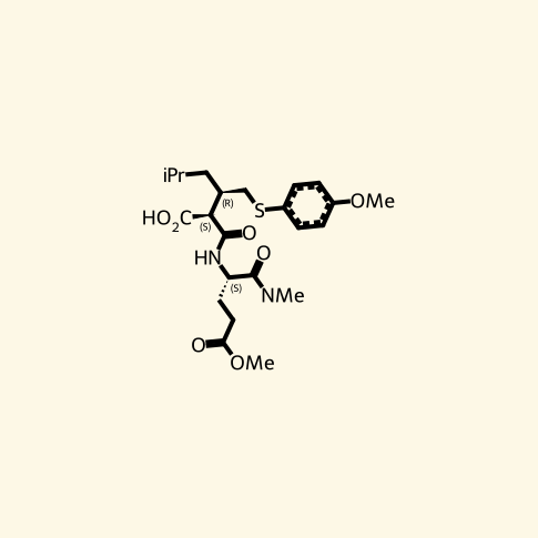 CNC(=O)[C@H](CCC(=O)OC)NC(=O)[C@@H](C(=O)O)[C@H](CSc1ccc(OC)cc1)CC(C)C